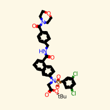 CC(C)(C)OC(=O)CN(c1ccc2c(C(=O)NCc3ccc(C(=O)N4CCOCC4)cc3)cccc2c1)S(=O)(=O)c1cc(Cl)cc(Cl)c1